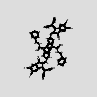 N#CC(C#N)=C1/C(=N/c2cc3c(s2)c2c(c4sc(/N=C5\C(=O)c6cc(F)c(F)cc6C5=C(C#N)C#N)cc4n2C(=O)OCc2ccccc2)n3C(=O)OCc2ccccc2)C(=O)c2cc(F)c(F)cc21